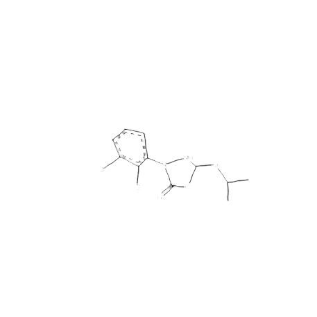 CC(C)OC1NN(c2cccc(Cl)c2Cl)C(=O)O1